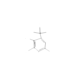 CCC(C)(C)c1cc(C)cc(C)c1OC(C)=O